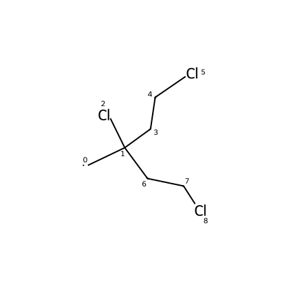 [CH2]C(Cl)(CCCl)CCCl